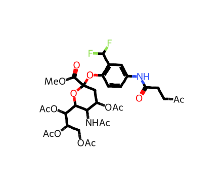 COC(=O)C1(Oc2ccc(NC(=O)CCC(C)=O)cc2C(F)F)CC(OC(C)=O)C(NC(C)=O)C(C(OC(C)=O)C(COC(C)=O)OC(C)=O)O1